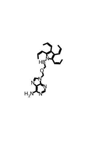 C/C=C\c1c(/C=C\C)c(/C=C\C)n(BCOCn2cnc3c(N)ncnc32)c1/C=C\C